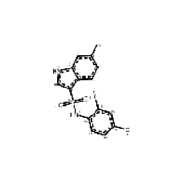 Cc1ccc2c(S(=O)(=O)Nc3ccc(Cl)cc3F)c[nH]c2c1